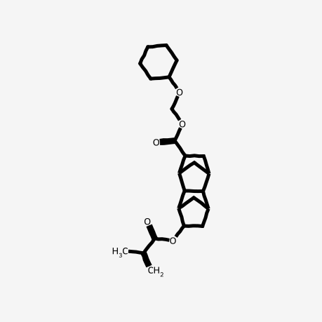 C=C(C)C(=O)OC1CC2CC1C1C3CC(CC3C(=O)OCOC3CCCCC3)C21